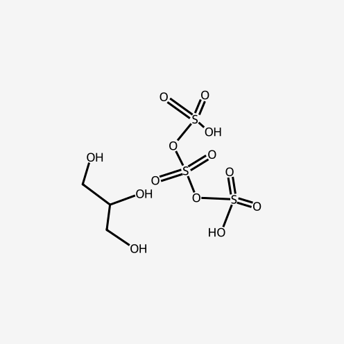 O=S(=O)(O)OS(=O)(=O)OS(=O)(=O)O.OCC(O)CO